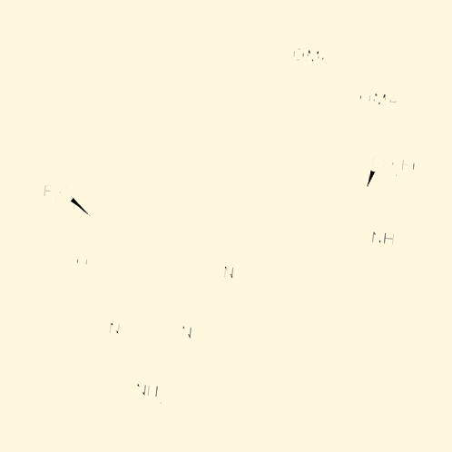 CCOC(=O)[C@@H]1CC2(CCN(c3cc(O[C@H](c4ccc(-c5ccc(OC)c(OC)c5)cc4)C(F)(F)F)nc(N)n3)CC2)CN1